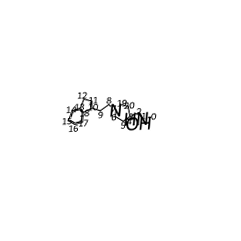 CNCC1(O)CCN(CCC2=CCc3ccccc32)CC1